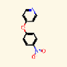 O=[N+]([O-])c1ccc(Oc2c[c]ncc2)cc1